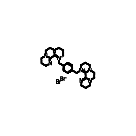 [Br-].[Br-].c1cc(C[N+]2=C3C4=NCCCN4CCN3CCC2)ccc1C[N+]1=C2C3=NCCCN3CCN2CCC1